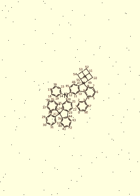 c1ccc(-c2cccc3c2-c2cc(N(c4ccccc4)c4ccc5c(c4)C(c4ccccc4)(c4ccccc4)c4ccccc4-5)ccc2C32C3CC4CC5CC2C453)cc1